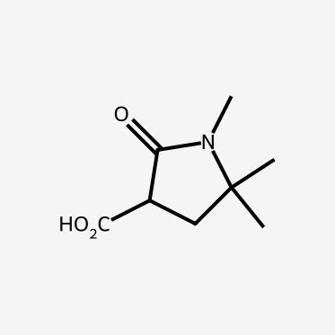 CN1C(=O)C(C(=O)O)CC1(C)C